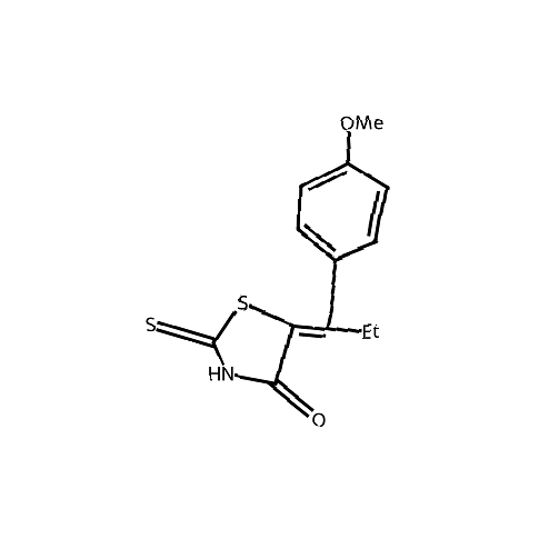 CC/C(=C1/SC(=S)NC1=O)c1ccc(OC)cc1